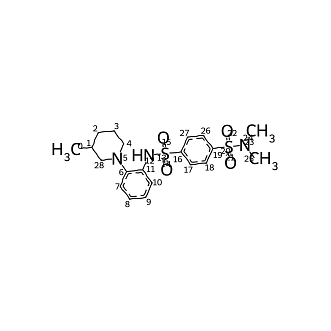 CC1CCCN(c2ccccc2NS(=O)(=O)c2ccc(S(=O)(=O)N(C)C)cc2)C1